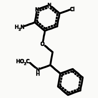 Nc1nnc(Cl)cc1OCC(NC(=O)O)c1ccccc1